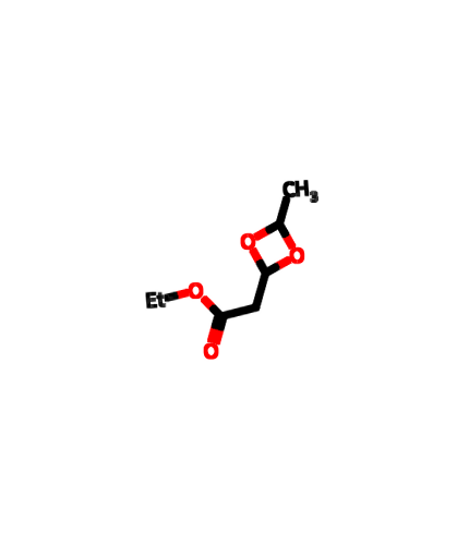 CCOC(=O)CC1OC(C)O1